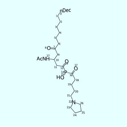 CCCCCCCCCCCCCCCCC(=O)CC(CC(=O)P(O)C(=O)CCCCN1CCCC1)NC(C)=O